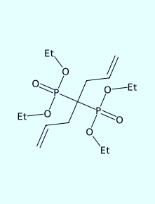 C=CCC(CC=C)(P(=O)(OCC)OCC)P(=O)(OCC)OCC